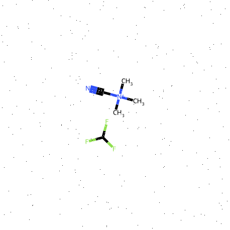 C[N+](C)(C)C#N.FC(F)F